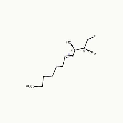 CCCCCCCCCCCCC/C=C/[C@@H](O)[C@H](N)CF